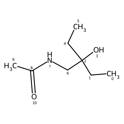 CCC(O)(CC)CNC(C)=O